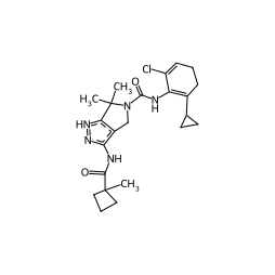 CC1(C(=O)Nc2n[nH]c3c2CN(C(=O)NC2=C(C4CC4)CCC=C2Cl)C3(C)C)CCC1